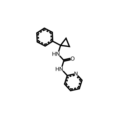 O=C(Nc1ccccn1)NC1(c2ccccc2)CC1